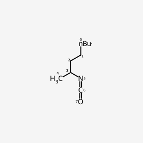 CCC[CH]CCC(C)N=C=O